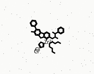 CCCC[C](CCCC)=[Zr+2]([C]1=CC=CC1)[c]1c(CC(C)C(C)c2ccccc2)ccc2c1Cc1cc(C)c(-c3ccccc3)cc1-2.[Cl-].[Cl-]